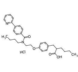 CCCCC(Cc1ccc(OCCN(CCCC)C(=O)c2ccc(-c3ccccn3)cc2)cc1)C(=O)O.Cl